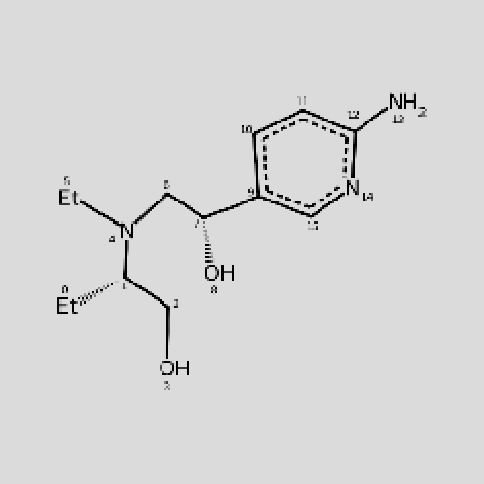 CC[C@@H](CO)N(CC)C[C@@H](O)c1ccc(N)nc1